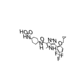 Cc1[nH]c2c(-c3cc(C(F)(F)F)ccc3OCC3CC3)ncnc2c1C(=O)NC1CCC(NC(=O)O)CC1